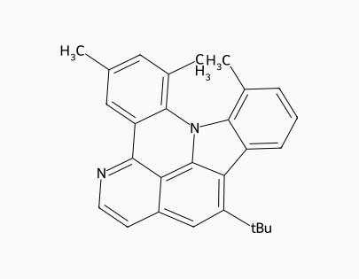 Cc1cc(C)c2c(c1)c1nccc3cc(C(C)(C)C)c4c5cccc(C)c5n2c4c31